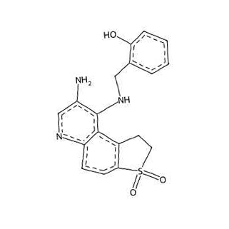 Nc1cnc2ccc3c(c2c1NCc1ccccc1O)CCS3(=O)=O